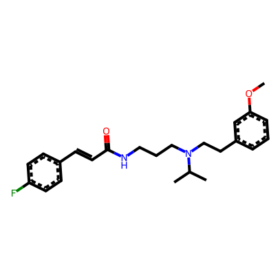 COc1cccc(CCN(CCCNC(=O)/C=C/c2ccc(F)cc2)C(C)C)c1